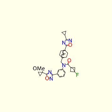 COC1(c2nc(-c3cccc(N(CC45CCC(c6nc(C7CC7)no6)(CC4)CC5)C(=O)C45CC(F)(C4)C5)c3)no2)CC1